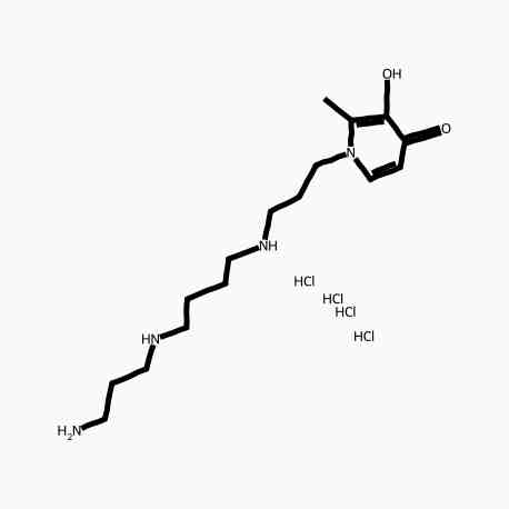 Cc1c(O)c(=O)ccn1CCCNCCCCNCCCN.Cl.Cl.Cl.Cl